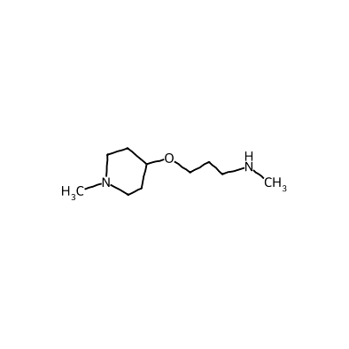 CNCCCOC1CCN(C)CC1